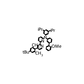 COc1ccccc1-c1cccc(N(c2cc(C(C)C)cc(C(C)C)c2)c2cccc(-c3cc(-c4c(C)cc(C(C)(C)C)cc4C)ccn3)n2)c1